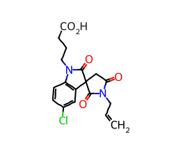 C=CCN1C(=O)CC2(C1=O)C(=O)N(CCCC(=O)O)c1ccc(Cl)cc12